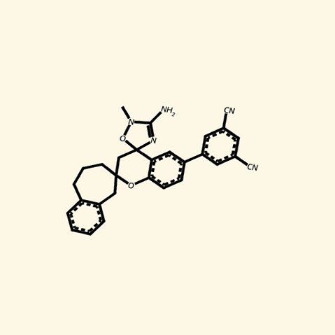 CN1OC2(CC3(CCCc4ccccc4C3)Oc3ccc(-c4cc(C#N)cc(C#N)c4)cc32)N=C1N